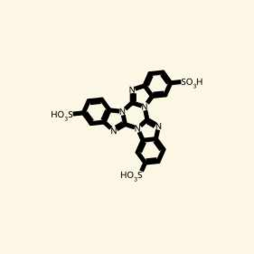 O=S(=O)(O)c1ccc2c(c1)nc1n2c2nc3ccc(S(=O)(=O)O)cc3n2c2nc3ccc(S(=O)(=O)O)cc3n12